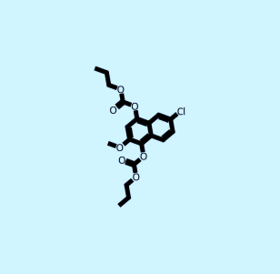 CCCOC(=O)Oc1cc(OC)c(OC(=O)OCCC)c2ccc(Cl)cc12